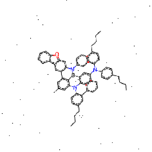 CCCCc1ccc(N(c2ccc(CCCC)cc2)c2ccc3c(c2)B2c4c(cc(C)cc4N3c3ccc(CCCC)cc3-c3ccccc3)-c3cc4c(cc3N2c2ccccc2)oc2ccccc24)cc1